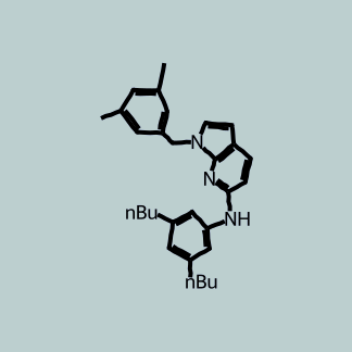 CCCCc1cc(CCCC)cc(Nc2ccc3ccn(Cc4cc(C)cc(C)c4)c3n2)c1